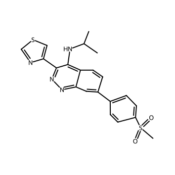 CC(C)Nc1c(-c2cscn2)nnc2cc(-c3ccc(S(C)(=O)=O)cc3)ccc12